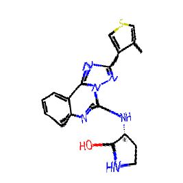 Cc1cscc1-c1nc2c3ccccc3nc(N[C@@H]3CCNC3O)n2n1